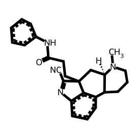 CN1CCCC2c3cccc4c3C(CCC(=O)Nc3ccccc3)(C[C@H]21)C(C#N)=N4